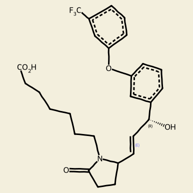 O=C(O)CCCCCCN1C(=O)CCC1/C=C/[C@@H](O)c1cccc(Oc2cccc(C(F)(F)F)c2)c1